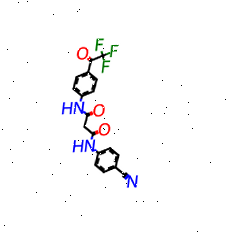 N#Cc1ccc(NC(=O)CC(=O)Nc2ccc(C(=O)C(F)(F)F)cc2)cc1